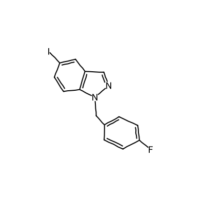 Fc1ccc(Cn2ncc3cc(I)ccc32)cc1